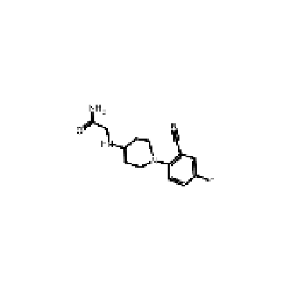 N#Cc1cc(F)ccc1N1CCC(NCC(N)=O)CC1